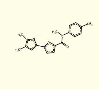 Cc1ccc(N(C)C(=O)c2ccc(-c3cc(C(F)(F)F)n(C)n3)s2)cc1